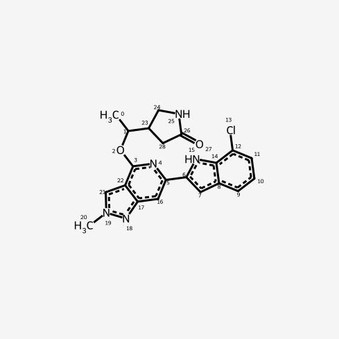 CC(Oc1nc(-c2cc3cccc(Cl)c3[nH]2)cc2nn(C)cc12)C1CNC(=O)C1